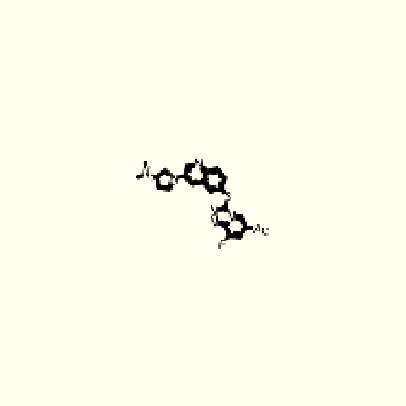 CC(=O)c1cc(F)c2nnc(Sc3ccc4ncc(N5CC[C@H](N(C)C)C5)cc4c3)n2c1